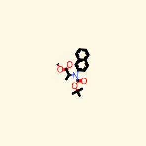 COC(=O)C(C)N(C(=O)OC(C)(C)C)c1ccc2ccccc2c1